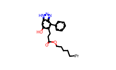 CC(C)CCCCCOC(=O)CCc1c(O)cc2[nH]nnc2c1-c1ccccc1